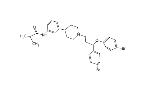 CC(C)C(=O)Nc1cccc(C2CCN(CCC(Oc3ccc(Br)cc3)c3ccc(Br)cc3)CC2)c1